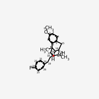 COc1ccc2c(c1)[C@@]1(C)CCN(C)[C@H](C2)C1NCCc1ccc(F)cc1